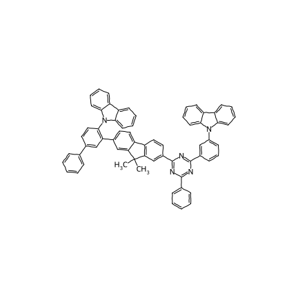 CC1(C)c2cc(-c3nc(-c4ccccc4)nc(-c4cccc(-n5c6ccccc6c6ccccc65)c4)n3)ccc2-c2ccc(-c3cc(-c4ccccc4)ccc3-n3c4ccccc4c4ccccc43)cc21